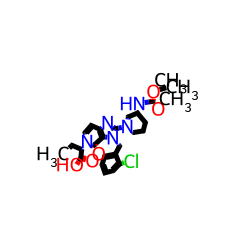 CCC(C(=O)O)n1ccc2nc(N3CCC[C@@H](NC(=O)OC(C)(C)C)C3)n(Cc3ccccc3Cl)c2c1=O